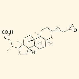 C[C@H](CCC(=O)O)[C@H]1CC[C@H]2[C@@H]3CC[C@@H]4C[C@@H](OCC5CO5)CC[C@]4(C)[C@H]3CC[C@]12C